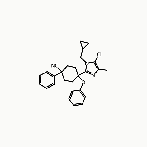 Cc1nc(C2(Oc3ccccc3)CCC(C#N)(c3ccccc3)CC2)n(CC2CC2)c1Cl